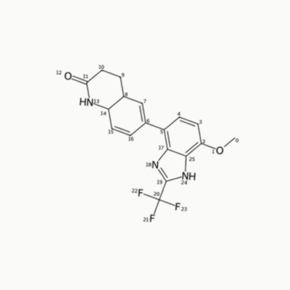 COc1ccc(C2=CC3CCC(=O)NC3C=C2)c2nc(C(F)(F)F)[nH]c12